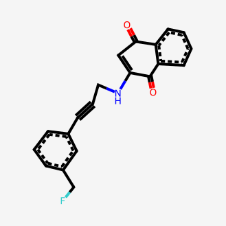 O=C1C=C(NCC#Cc2cccc(CF)c2)C(=O)c2ccccc21